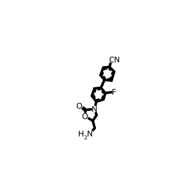 N#Cc1ccc(-c2ccc(N3CC(CN)OC3=O)cc2F)cc1